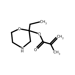 C=C(C)C(=O)OC1(CC)CNCCO1